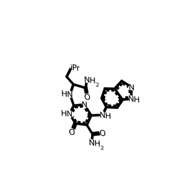 CC(C)CC(Nc1nc(Nc2ccc3cn[nH]c3c2)c(C(N)=O)c(=O)[nH]1)C(N)=O